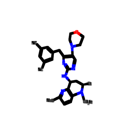 CCOC(=O)N1c2ccc(OC)nc2[C@@H](Nc2ncc(N3CCOCC3)c(Cc3cc(C#N)cc(C#N)c3)n2)C[C@H]1CC